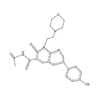 C=C(C)NC(=O)c1cc2cc(-c3ccc(C#N)cc3)cnc2n(CCN2CCOCC2)c1=O